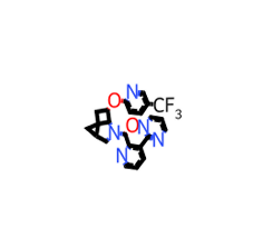 O=C(c1ncccc1-c1ncccn1)N1CC2CC23CC(Oc2ccc(C(F)(F)F)cn2)C13